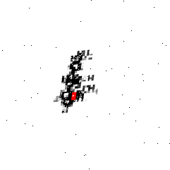 CCC[C@H](O)[C@@]1(F)[C@H]([C@@H]2C[C@H]3CN(c4ccc(S(N)(=O)=O)cc4)O[C@@]3(C(=O)CO)C2)C[C@H](F)C2=CC(=O)C=C[C@@]21C